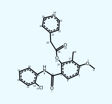 COc1ccc(C(=O)Nc2ccccc2Cl)c(OC(=O)Cc2ccncc2)c1C